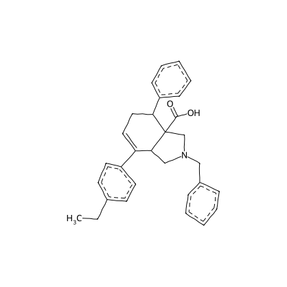 CCc1ccc(C2=CCC(c3ccccc3)C3(C(=O)O)CN(Cc4ccccc4)CC23)cc1